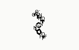 CC1(CN2CCN(/N=C\c3ccc(OC(F)(F)F)cc3)CC2)Cn2cc([N+](=O)[O-])nc2O1